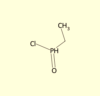 CC[PH](=O)Cl